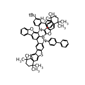 CC(C)(C)c1ccc(N2c3c(oc4cc5c(cc34)C(C)(C)CCC5(C)C)B3c4c(cc5c(oc6ccccc65)c42)-c2cc4c(cc2N3c2ccc(-c3ccccc3)cc2)sc2cc3c(cc24)C(C)(C)CCC3(C)C)c(-c2ccccc2)c1